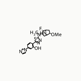 CO[C@@H]1CC2NC1C[C@@H](N(C)c1nnc(-c3ccc(-n4ccnc4)cc3O)s1)[C@@H]2F